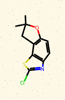 CC1(C)Cc2c(ccc3nc(Cl)sc23)O1